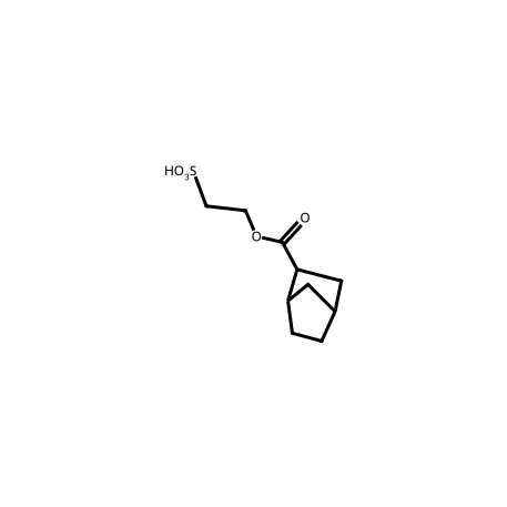 O=C(OCCS(=O)(=O)O)C1CC2CCC1C2